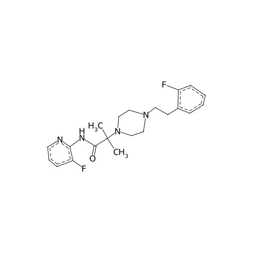 CC(C)(C(=O)Nc1ncccc1F)N1CCN(CCc2ccccc2F)CC1